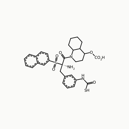 N[C@@](Cc1cccc(NC(=O)S)c1)(C(=O)N1CCC(OC(=O)O)C2CCCCC21)S(=O)(=O)c1ccc2ccccc2c1